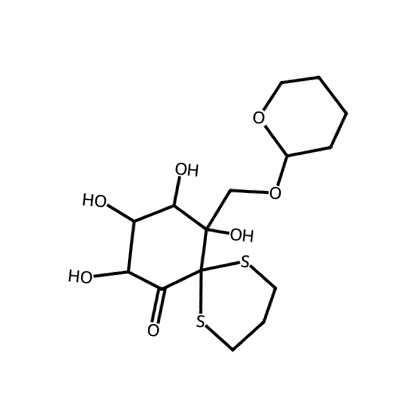 O=C1C(O)C(O)C(O)C(O)(COC2CCCCO2)C12SCCCS2